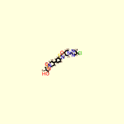 C[C@H](CO)CS(=O)(=O)N1CC=C(c2ccc3nc(OC4CCN(c5ncc(Cl)cn5)CC4)sc3c2)CC1